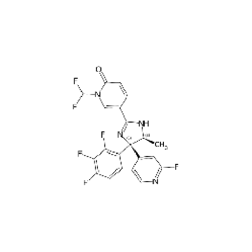 C[C@@H]1NC(c2ccc(=O)n(C(F)F)c2)=N[C@@]1(c1ccnc(F)c1)c1ccc(F)c(F)c1F